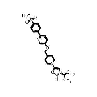 CC(C)N1C=C(N2CCC(COc3ccc(-c4ccc(S(C)(=O)=O)cc4)nc3)CC2)ON1